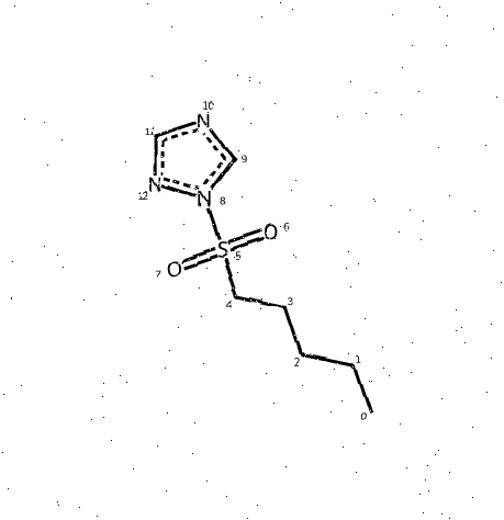 CCCCCS(=O)(=O)n1cncn1